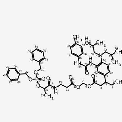 CCC(CC(=O)OCOC(=O)CCNC(=O)C(C)OP(=O)(OCc1ccccc1)OCc1ccccc1)c1ccc(N(CC(C)C)CC(C)C)c(NC(=O)Nc2ccc(C)cc2)c1